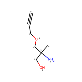 C#CCOCC(C)(N)CO